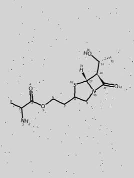 CC(N)C(=O)OCCC1CN2C(=O)[C@H]([C@@H](C)O)[C@H]2S1